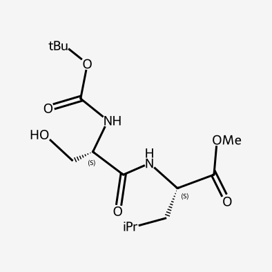 COC(=O)[C@H](CC(C)C)NC(=O)[C@H](CO)NC(=O)OC(C)(C)C